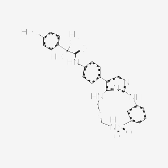 Cc1ccc(C(C)(C)C(=O)Nc2ccc(-c3cnc4nc3NCCCNS(=O)(=O)c3cccc(c3)N4)cc2)cc1